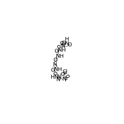 O=C1CCC(N2Cc3c(NC(=O)CCNCCOCCN4CCC(NC(=O)c5ccc(Nc6ncc7c(n6)-c6ccc(Cl)cc6C(c6c(F)cccc6F)=NC7)cc5)CC4)cccc3C2=O)C(=O)N1